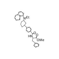 CCN(c1cccc2ccccc12)C1CCCC(c2ccc(C(=O)NC(Cc3ccccc3)C(=O)OC)cc2)C1